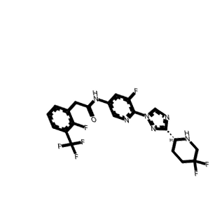 O=C(Cc1cccc(C(F)(F)F)c1F)Nc1cnc(-n2cnc([C@H]3CCC(F)(F)CN3)n2)c(F)c1